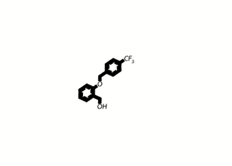 OCc1ccccc1OCc1ccc(C(F)(F)F)cc1